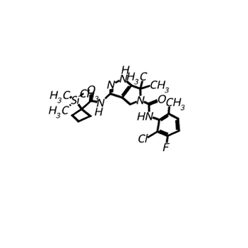 Cc1ccc(F)c(Cl)c1NC(=O)N1Cc2c(NC(=O)C3([Si](C)(C)C)CCC3)n[nH]c2C1(C)C